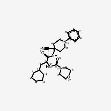 N#CC1(NC(=O)C(CC2CCCCC2)NC(=O)N2CCOCC2)CCN(c2ccccc2)CC1